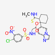 CNC(=S)C1CCCCC1(OC(=O)CNS(=O)(=O)c1ccc(Cl)c([N+](=O)[O-])c1)c1ccc2nccn2c1